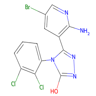 Nc1ncc(Br)cc1-c1nnc(O)n1-c1cccc(Cl)c1Cl